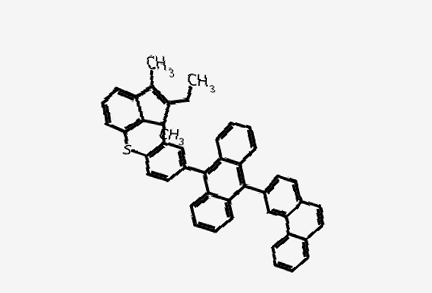 CCC1=C(C)c2cccc3c2[C@]1(C)c1cc(-c2c4ccccc4c(-c4ccc5ccc6ccccc6c5c4)c4ccccc24)ccc1S3